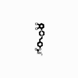 NC(=O)OC1CC=C(CCN2CCN(c3cccc(Cl)c3Cl)CC2)CC1